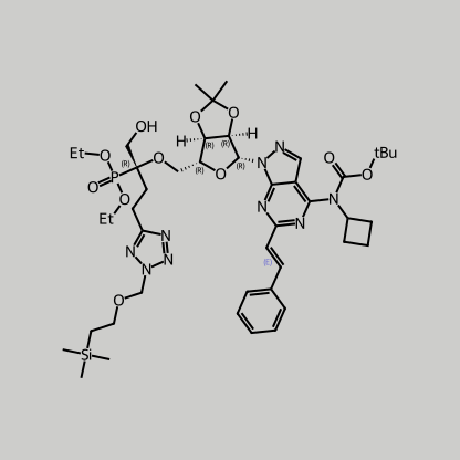 CCOP(=O)(OCC)[C@@](CO)(CCc1nnn(COCC[Si](C)(C)C)n1)OC[C@H]1O[C@@H](n2ncc3c(N(C(=O)OC(C)(C)C)C4CCC4)nc(/C=C/c4ccccc4)nc32)[C@@H]2OC(C)(C)O[C@@H]21